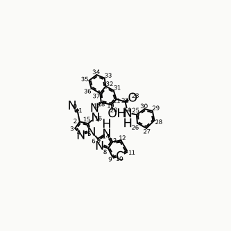 N#Cc1cnn(-c2nc3ccccc3[nH]2)c1/N=N/c1c(O)c(C(=O)Nc2ccccc2)cc2ccccc12